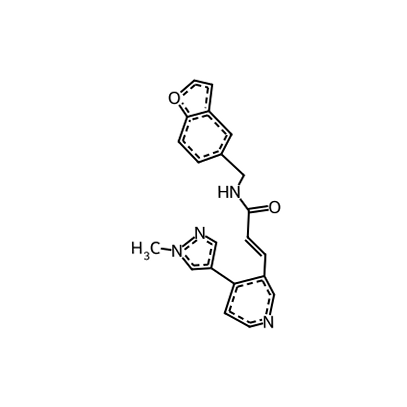 Cn1cc(-c2ccncc2C=CC(=O)NCc2ccc3occc3c2)cn1